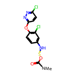 CNC(=O)OSNc1ccc(Oc2ccc(Cl)nn2)c(Cl)c1